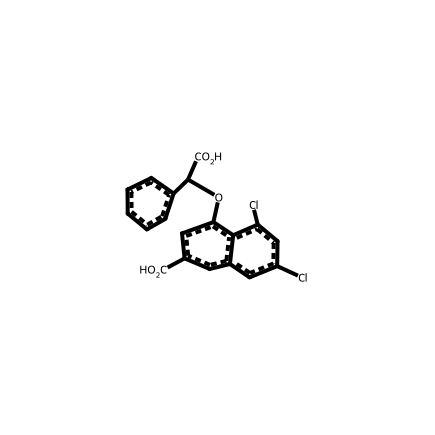 O=C(O)c1cc(OC(C(=O)O)c2ccccc2)c2c(Cl)cc(Cl)cc2c1